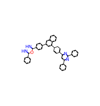 N=C(OC(=N)c1ccc(-c2cc(C3C=CC(c4cc(-c5ccccc5)nc(-c5ccccc5)n4)=CC3)c3ccccc3c2)cc1)c1ccccc1